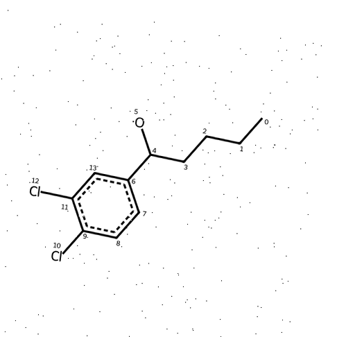 CCCCC([O])c1ccc(Cl)c(Cl)c1